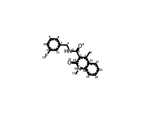 Cc1c(C(=O)NCc2cccc(F)c2)c(=O)n(C)c2ccccc12